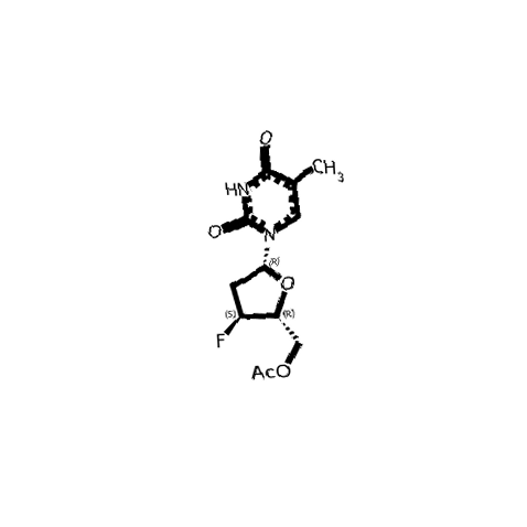 CC(=O)OC[C@H]1O[C@@H](n2cc(C)c(=O)[nH]c2=O)C[C@@H]1F